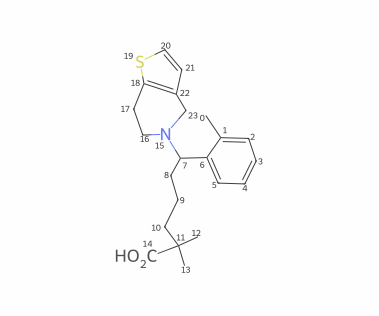 Cc1ccccc1C(CCCC(C)(C)C(=O)O)N1CCc2sccc2C1